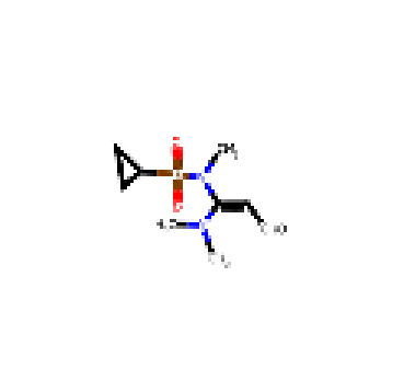 CN(C)C(=CC=O)N(C)S(=O)(=O)C1CC1